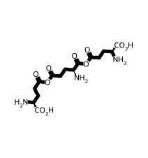 N[C@H](CCC(=O)OC(=O)CC[C@H](N)C(=O)O)C(=O)OC(=O)CC[C@H](N)C(=O)O